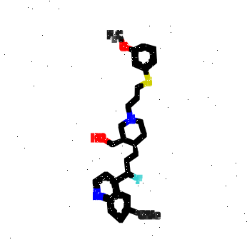 COc1ccc2nccc(C(F)CC[C@@H]3CCN(CCCSc4cccc(OC(F)(F)F)c4)C[C@@H]3CO)c2c1